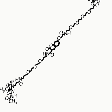 CC(=O)Nc1nc(N(CCC(=O)NCCCOCCOCCOCCCNC(=O)c2cc3ccc(OCC(=O)NCCOCCOCCOCCOCCC(=O)ON4C(=O)CCC4=O)cc3oc2=O)[SH](=O)=O)c(C)s1